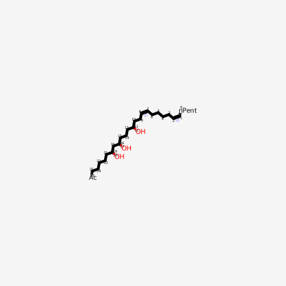 CCCCC/C=C\CCCC/C=C\CCC(O)CCCC(O)CC(O)CCCCCC(C)=O